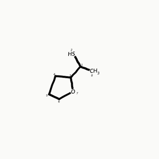 CC(S)C1CCCO1